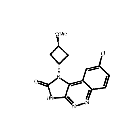 CO[C@H]1C[C@H](n2c(=O)[nH]c3nnc4ccc(Cl)cc4c32)C1